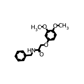 COc1ccc(OCC(=O)NCc2ccccc2)cc1OC